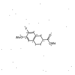 COC(=O)C1CCc2cc(OC)c(F)cc2C1